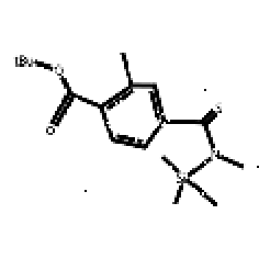 Cc1cc(C(=S)N(C)[Si](C)(C)C)ccc1C(=O)OC(C)(C)C